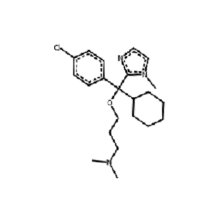 CN(C)CCCOC(c1ccc(Cl)cc1)(c1nccn1C)C1CCCCC1